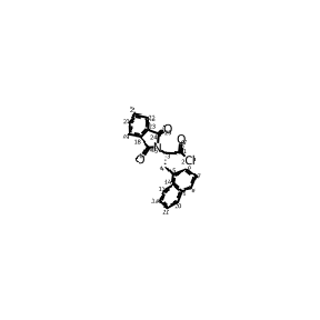 O=C(Cl)[C@H](Cc1cccc2ccccc12)N1C(=O)c2ccccc2C1=O